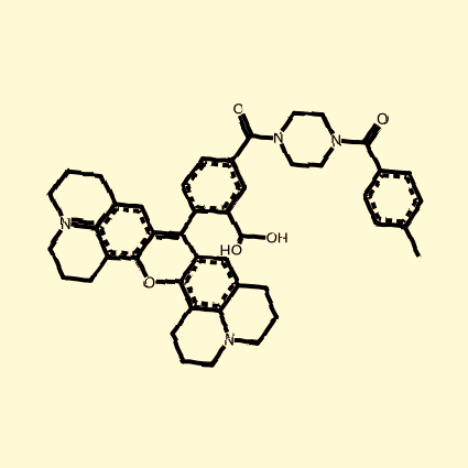 Cc1ccc(C(=O)N2CCN(C(=O)c3ccc(C4=c5cc6c7c(c5Oc5c4cc4c8c5CCCN8CCC4)CCC[N+]=7CCC6)c(C(O)O)c3)CC2)cc1